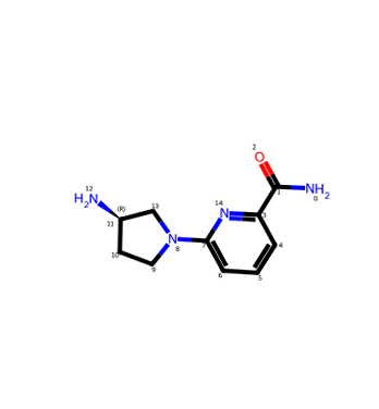 NC(=O)c1[c]ccc(N2CC[C@@H](N)C2)n1